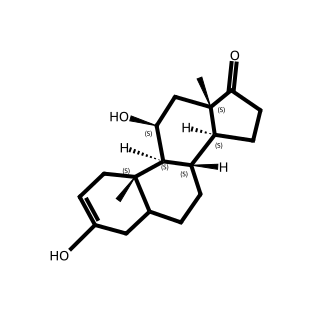 C[C@]12CC=C(O)CC1CC[C@@H]1[C@@H]2[C@@H](O)C[C@]2(C)C(=O)CC[C@@H]12